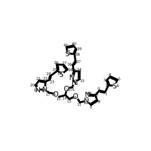 C(=C\c1cccs1)/c1ccn(COCC(COCn2nccc2/C=C/c2cccs2)OCn2ccc(/C=C/c3cccs3)n2)n1